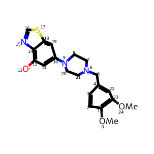 COc1ccc(CN2CCN(c3cc([O])c4ncsc4c3)CC2)cc1OC